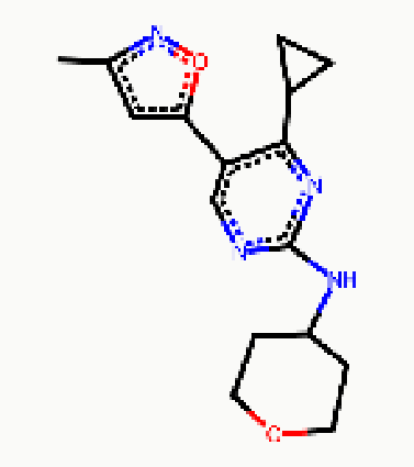 Cc1cc(-c2cnc(NC3CCOCC3)nc2C2CC2)on1